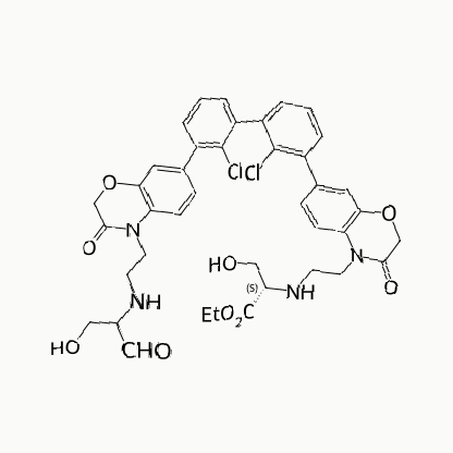 CCOC(=O)[C@H](CO)NCCN1C(=O)COc2cc(-c3cccc(-c4cccc(-c5ccc6c(c5)OCC(=O)N6CCNC(C=O)CO)c4Cl)c3Cl)ccc21